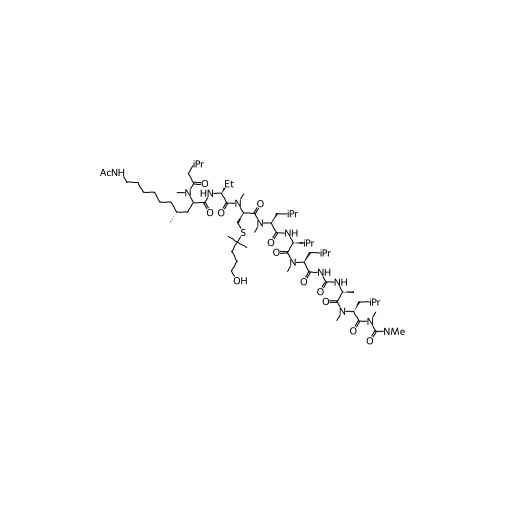 CC[C@H](NC(=O)C(C[C@H](C)CCCCCCNC(C)=O)N(C)C(=O)CC(C)C)C(=O)N(C)[C@H](CSC(C)(C)CCCO)C(=O)N(C)[C@@H](CC(C)C)C(=O)N[C@H](C(=O)N(C)[C@@H](CC(C)C)C(=O)NC(=O)N[C@@H](C)C(=O)N(C)[C@@H](CC(C)C)C(=O)N(C)C(=O)NC)C(C)C